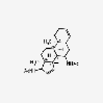 CC(=O)NC1CC2C=CCC[C@]2(C)[C@@H]2CC[C@]3(C)C(NC(C)=O)C=C[C@H]3[C@H]12